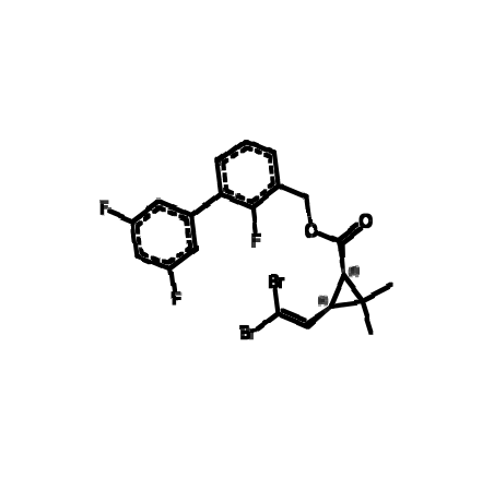 CC1(C)[C@H](C(=O)OCc2cccc(-c3cc(F)cc(F)c3)c2F)[C@@H]1C=C(Br)Br